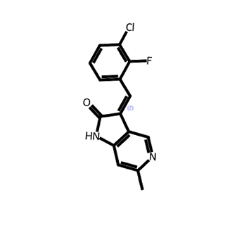 Cc1cc2c(cn1)/C(=C/c1cccc(Cl)c1F)C(=O)N2